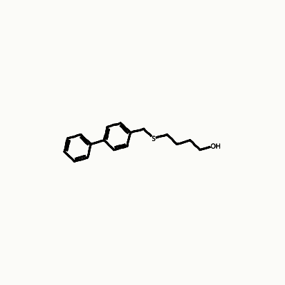 OCCCCSCc1ccc(-c2ccccc2)cc1